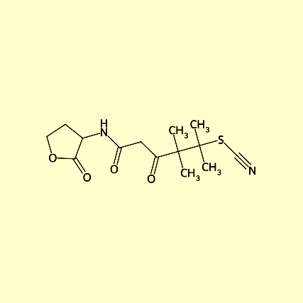 CC(C)(SC#N)C(C)(C)C(=O)CC(=O)NC1CCOC1=O